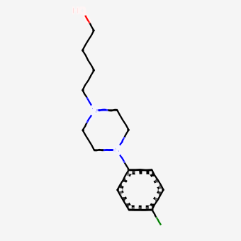 OCCCCN1CCN(c2ccc(Cl)cc2)CC1